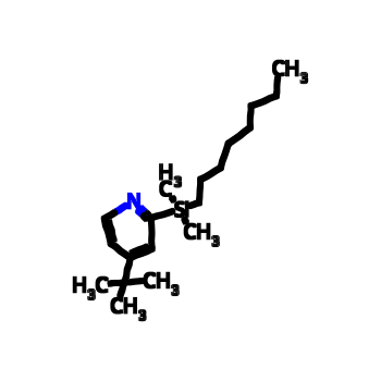 CCCCCCCC[Si](C)(C)c1cc(C(C)(C)C)ccn1